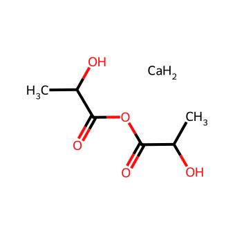 CC(O)C(=O)OC(=O)C(C)O.[CaH2]